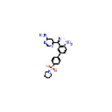 N=C(c1cc(N)ncn1)c1cc(-c2ccc(S(=O)(=O)N3CCCC3)cc2)ccc1N